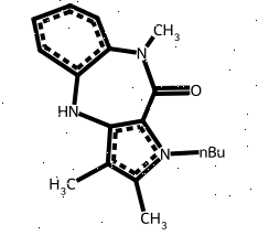 CCCCn1c(C)c(C)c2c1C(=O)N(C)c1ccccc1N2